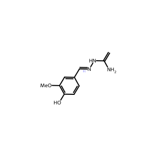 C=C(N)N/N=C/c1ccc(O)c(OC)c1